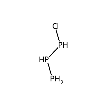 PPPCl